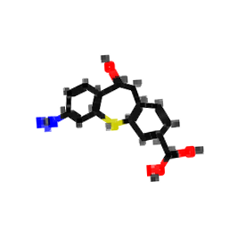 Nc1ccc2c(c1)Sc1cc(C(=O)O)ccc1CC2=O